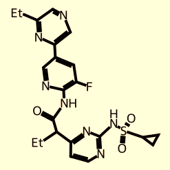 CCc1cncc(-c2cnc(NC(=O)C(CC)c3ccnc(NS(=O)(=O)C4CC4)n3)c(F)c2)n1